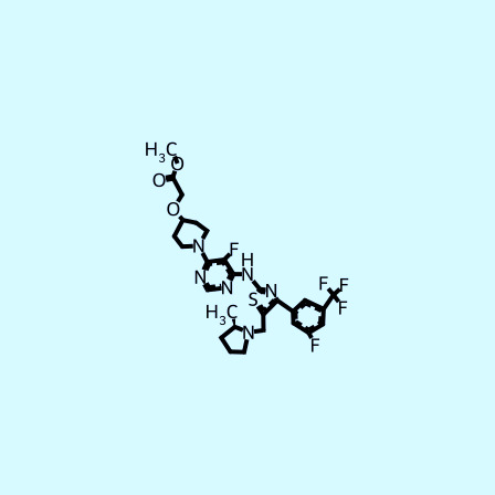 COC(=O)COC1CCN(c2ncnc(Nc3nc(-c4cc(F)cc(C(F)(F)F)c4)c(CN4CCC[C@H]4C)s3)c2F)CC1